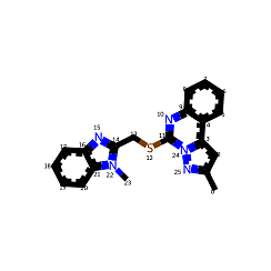 Cc1cc2c3ccccc3nc(SCc3nc4ccccc4n3C)n2n1